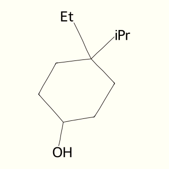 CCC1(C(C)C)CCC(O)CC1